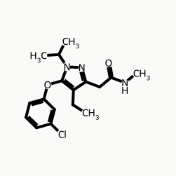 CCc1c(CC(=O)NC)nn(C(C)C)c1Oc1cccc(Cl)c1